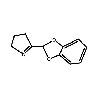 c1ccc2c(c1)OC(C1=NCCC1)O2